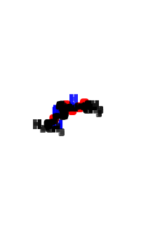 CC(C)NCCOCCCn1nnc2c1-c1ccccc1CN(C(=O)CCC(=O)NCCOCCC(=O)C(C)C)c1ccccc1-2